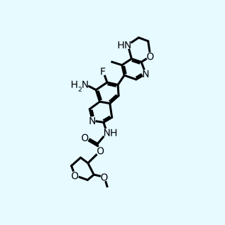 COC1COCCC1OC(=O)Nc1cc2cc(-c3cnc4c(c3C)NCCO4)c(F)c(N)c2cn1